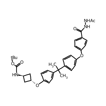 CC(=O)NNC(=O)c1ccc(Oc2ccc(C(C)(C)c3ccc(O[C@H]4C[C@H](NC(=O)OC(C)(C)C)C4)cc3)cc2)cc1